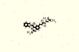 CN(C)CCNC(=O)CCc1ccc2nc(N)nc(C(=O)N3Cc4ccccc4C3)c2c1